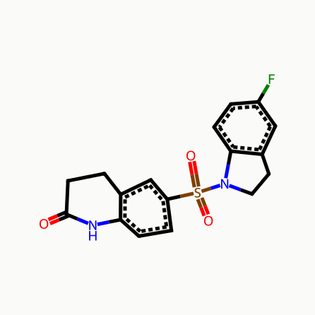 O=C1CCc2cc(S(=O)(=O)N3CCc4cc(F)ccc43)ccc2N1